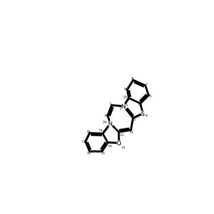 C1=C[n+]2c(sc3ccccc32)C=C2Oc3ccccc3N12